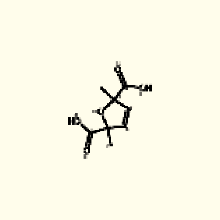 CC1(C(=O)O)C=CC(C)(C(=O)O)O1